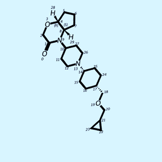 O=C1CO[C@@H]2CCC[C@@H]2N1C1CCN([C@H]2CC[C@@H](COCC3CC3)CC2)CC1